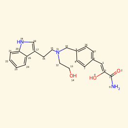 NC(=O)C(O)=Cc1ccc(CN(CCO)CCc2c[nH]c3ccccc23)cc1